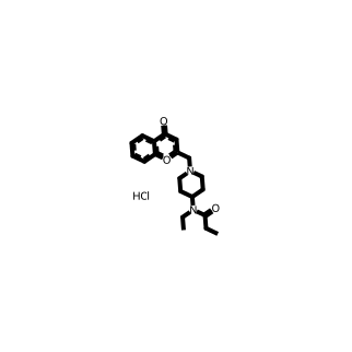 CCC(=O)N(CC)C1CCN(Cc2cc(=O)c3ccccc3o2)CC1.Cl